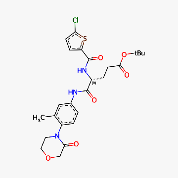 Cc1cc(NC(=O)[C@@H](CCC(=O)OC(C)(C)C)NC(=O)c2ccc(Cl)s2)ccc1N1CCOCC1=O